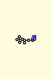 c1ccc(C2(c3ccccc3)c3ccccc3-c3c2ccc2cc(-c4ccc(-c5ccc6ccc7cccnc7c6n5)cc4)c4ccccc4c32)cc1